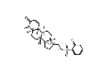 CN1C(=O)C=C[C@]2(C)[C@H]3CC[C@]4(C)[C@@H](CNS(=O)(=O)C5=CC=CCC5=S)CC[C@H]4[C@@H]3CC[C@@H]12